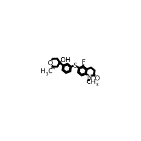 C[C@H]1C[C@@](O)(c2cccc(Sc3ccc4c(c3F)CCC(=O)N4C)c2)CCO1